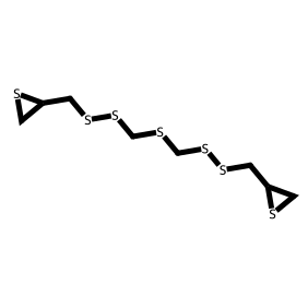 C(SCSSCC1CS1)SSCC1CS1